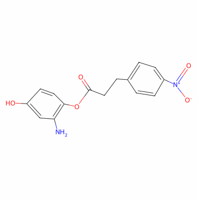 Nc1cc(O)ccc1OC(=O)CCc1ccc([N+](=O)[O-])cc1